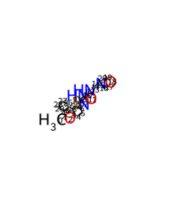 CC(Oc1ccc2nc(NC(=O)NCCN3CCOCC3)sc2c1)c1ccccc1